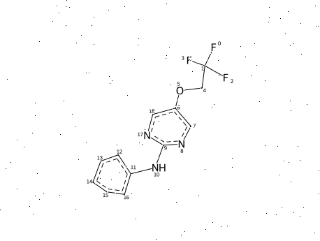 FC(F)(F)COc1cnc(Nc2ccccc2)nc1